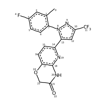 Cc1cc(F)ccc1-n1nc(C(F)(F)F)cc1-c1ccc2c(n1)NC(=O)CO2